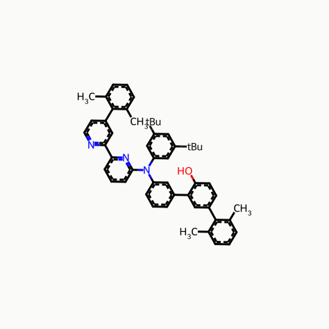 Cc1cccc(C)c1-c1ccnc(-c2cccc(N(c3cccc(-c4cc(-c5c(C)cccc5C)ccc4O)c3)c3cc(C(C)(C)C)cc(C(C)(C)C)c3)n2)c1